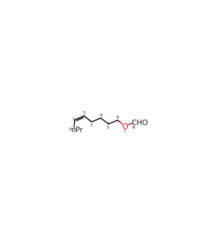 CCC/C=C\CCCCOC=O